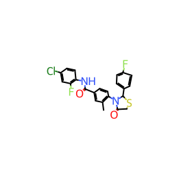 Cc1cc(C(=O)Nc2ccc(Cl)cc2F)ccc1N1C(=O)CSC1c1ccc(F)cc1